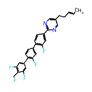 C/C=C/CCc1cnc(-c2ccc(-c3ccc(-c4cc(F)c(CF)c(F)c4)c(F)c3)c(F)c2)nc1